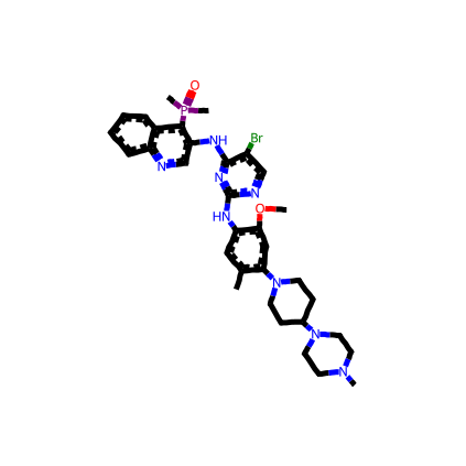 COc1cc(N2CCC(N3CCN(C)CC3)CC2)c(C)cc1Nc1ncc(Br)c(Nc2cnc3ccccc3c2P(C)(C)=O)n1